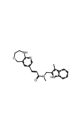 Cc1c(CN(C)C(=O)/C=C/c2cnc3c(c2)COCCN3)[nH]c2ccccc12